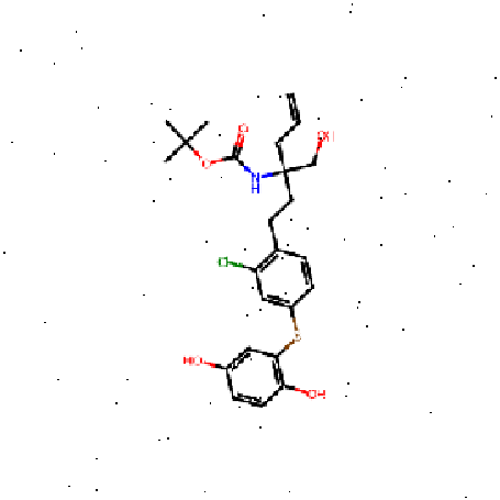 C=CC[C@@](CO)(CCc1ccc(Sc2cc(O)ccc2O)cc1Cl)NC(=O)OC(C)(C)C